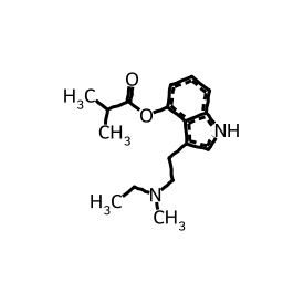 CCN(C)CCc1c[nH]c2cccc(OC(=O)C(C)C)c12